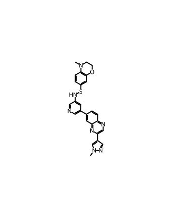 CN1CCOc2cc(SNc3cncc(-c4ccc5ncc(-c6cnn(C)c6)nc5c4)c3)ccc21